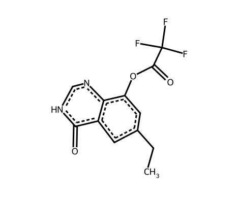 CCc1cc(OC(=O)C(F)(F)F)c2nc[nH]c(=O)c2c1